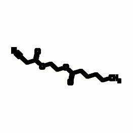 CCCCCC(=O)OCCOC(=O)CC#N